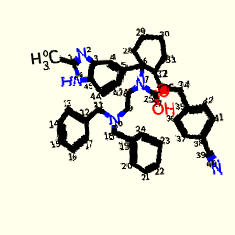 Cc1nc2cc(C3(N(CCN(Cc4ccccc4)Cc4ccccc4)C(=O)O)CCCCC3CCc3ccc(C#N)cc3)ccc2[nH]1